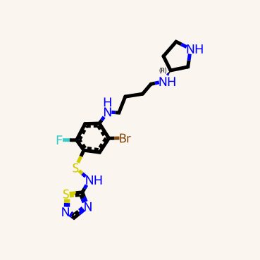 Fc1cc(NCCCCN[C@@H]2CCNC2)c(Br)cc1SNc1ncns1